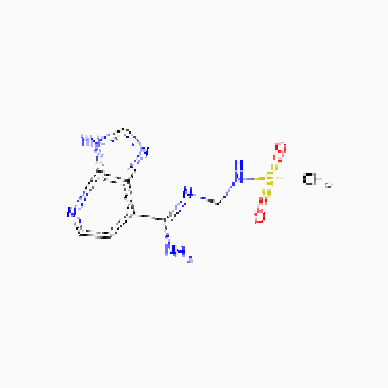 CS(=O)(=O)NCN=C(N)c1ccnc2[nH]cnc12